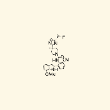 COc1cccc2cc(-c3cccc(C#N)c3NC(=O)N3CCC(C)(c4noc([C@@H]5C[C@@H]5F)n4)CC3)[nH]c12